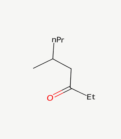 CCCC(C)CC(=O)CC